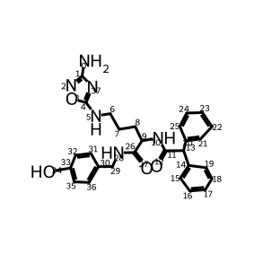 Nc1noc(NCCCC(NC(=O)C(c2ccccc2)c2ccccc2)C(=O)NCc2ccc(O)cc2)n1